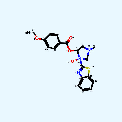 CCCCCCOc1ccc(C(=O)OC2CN(C)C[N+]2([O-])c2nc3ccccc3s2)cc1